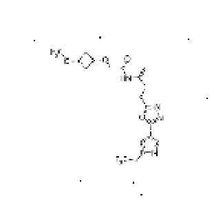 C=C(CCc1nnc(-c2cnn(CC(F)(F)F)c2)o1)NC(=O)CO[C@H]1C[C@@H](OC(F)(F)F)C1